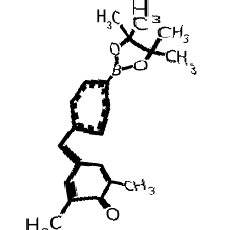 CC1=CC(=Cc2ccc(B3OC(C)(C)C(C)(C)O3)cc2)C=C(C)C1=O